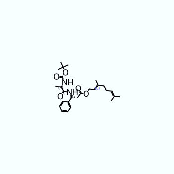 CC(C)=CCC/C(C)=C/COC(=O)C[C@@H](NC(=O)[C@@H](C)NC(=O)OC(C)(C)C)c1ccccc1